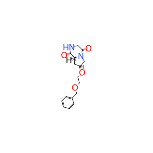 O=C1NCC(=O)N2C[C@H](OCCOCc3ccccc3)C[C@@H]12